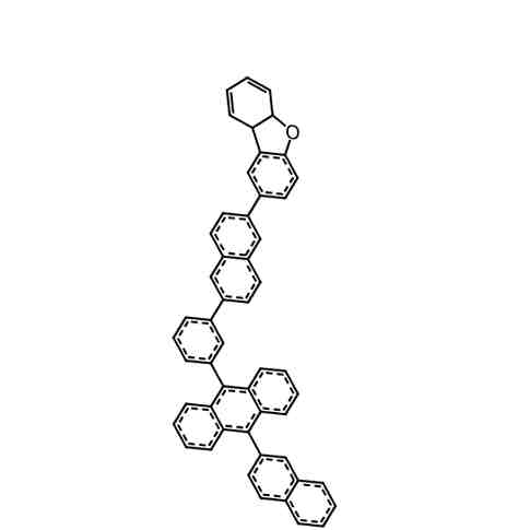 C1=CC2Oc3ccc(-c4ccc5cc(-c6cccc(-c7c8ccccc8c(-c8ccc9ccccc9c8)c8ccccc78)c6)ccc5c4)cc3C2C=C1